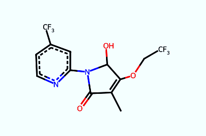 CC1=C(OCC(F)(F)F)C(O)N(c2cc(C(F)(F)F)ccn2)C1=O